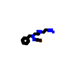 NCCNCCN(Cc1ccccc1)N=C=S